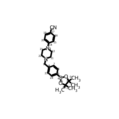 CC1(C)OB(c2ccc(CN3CCN(c4ccc(C#N)cc4)CC3)cc2)OC1(C)C